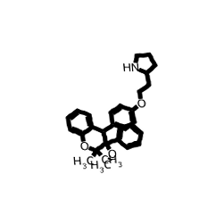 COC1(c2ccccc2)C(c2ccc(OCCC3CCCN3)cc2)c2ccccc2OC1(C)C